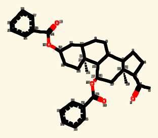 CC(=O)C1CCC2C3CCC4CC(OC(=O)c5ccccc5)CC[C@]4(C)C3[C@H](OC(=O)c3ccccc3)C[C@]12C